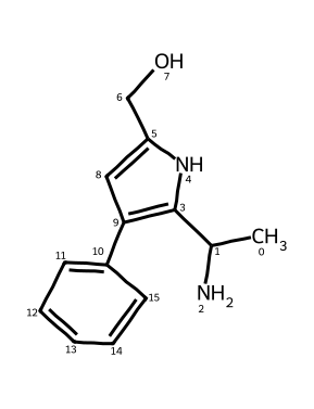 CC(N)c1[nH]c(CO)cc1-c1ccccc1